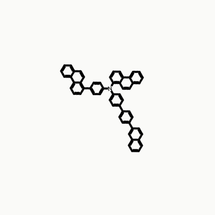 c1ccc2cc(-c3ccc(-c4ccc(N(c5ccc(-c6cccc7c6ccc6ccccc67)cc5)c5cccc6c5ccc5ccccc56)cc4)cc3)ccc2c1